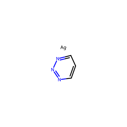 [Ag].c1cnnnc1